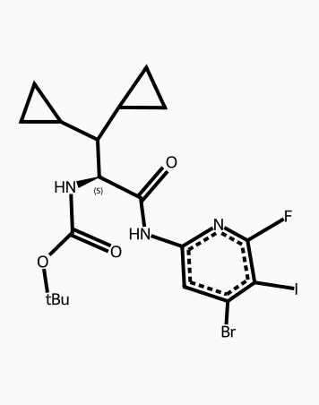 CC(C)(C)OC(=O)N[C@H](C(=O)Nc1cc(Br)c(I)c(F)n1)C(C1CC1)C1CC1